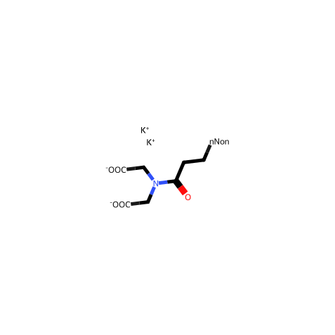 CCCCCCCCCCCC(=O)N(CC(=O)[O-])CC(=O)[O-].[K+].[K+]